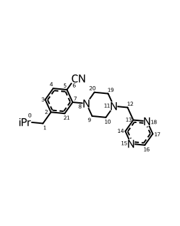 CC(C)Cc1ccc(C#N)c(N2CCN(Cc3cnccn3)CC2)c1